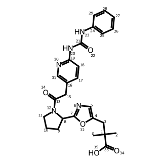 CC(C)(Cc1cnc(C2CCCN2C(=O)Cc2ccc(NC(=O)Nc3ccccc3)nc2)o1)C(=O)O